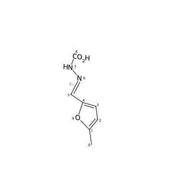 Cc1ccc(/C=N/NC(=O)O)o1